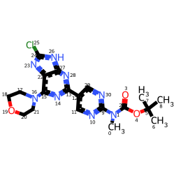 CN(C(=O)OC(C)(C)C)c1ncc(-c2nc(N3CCOCC3)c3nc(Cl)[nH]c3n2)cn1